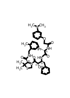 Cc1ccccc1CNC(=O)[C@H]1N(C(=O)[C@@H](O)[C@H](Cc2ccccc2)NC(=O)[C@@H](NC(=O)COc2cccc(N(C)C)c2)C(C)C)CSC1(C)C